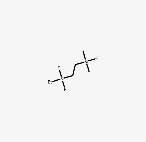 CC[Si](F)(F)CC[Si](C)(C)F